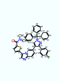 CN(C)C(=O)c1ccc(-c2cnc3ccc(-c4cn(C(c5ccccc5)(c5ccccc5)C5C=CC=CC5)nc4-c4ccc(F)cc4)cn23)s1